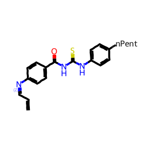 C=C/C=N\c1ccc(C(=O)NC(=S)Nc2ccc(CCCCC)cc2)cc1